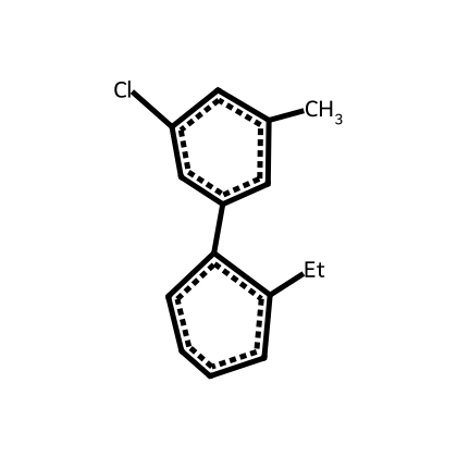 CCc1ccccc1-c1cc(C)cc(Cl)c1